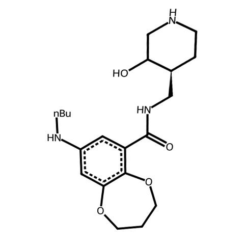 CCCCNc1cc2c(c(C(=O)NC[C@@H]3CCNCC3O)c1)OCCCO2